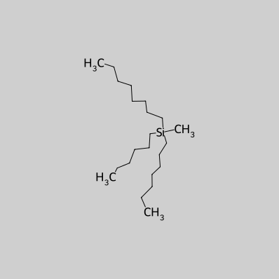 CCCCCCCC[Si](C)(CCCCCC)CCCCCCC